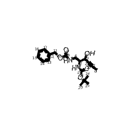 CC#CC(O)C(CNC(=O)OCc1ccccc1)NC(=O)OC(C)(C)C